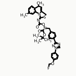 Cc1ccc2c(c1)N1C(=CC2C)CS/C1=N\C(=O)ON(Cc1ccc(-c2ncn(-c3ccc(OCF)cc3)n2)cc1)C(=O)OC(C)(C)C